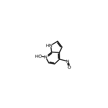 O=Nc1cc[n+](O)c2[nH]ccc12